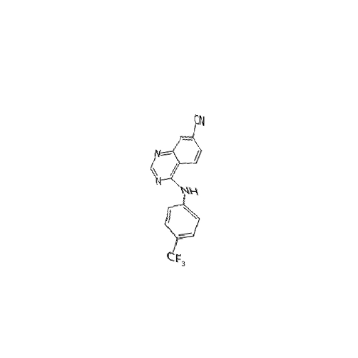 N#Cc1ccc2c(Nc3ccc(C(F)(F)F)cc3)ncnc2c1